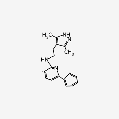 Cc1n[nH]c(C)c1CCNc1[c]ccc(-c2ccccc2)n1